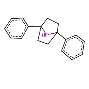 c1ccc(C23CCC(c4ccccc4)(CC2)P3)cc1